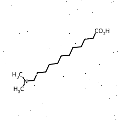 CN(C)CCCCCCCCCCCC(=O)O